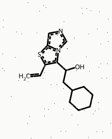 C=Cc1sc2cncn2c1C(O)CC1CCCCC1